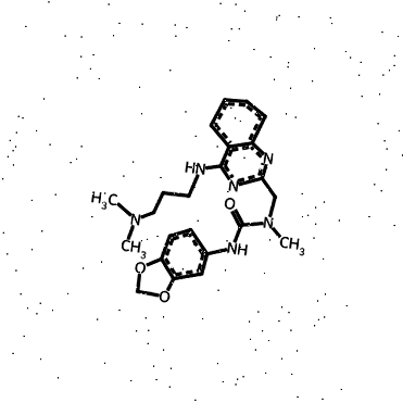 CN(C)CCCNc1nc(CN(C)C(=O)Nc2ccc3c(c2)OCO3)nc2ccccc12